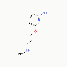 CCCNCCCOc1cccc(N)n1